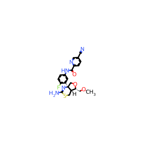 COC[C@H]1OC[C@]2(c3cc(NC(=O)c4ccc(C#N)cn4)ccc3F)N=C(N)SC[C@H]12